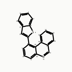 c1ccc2sc(-c3cccc4ncc5ccccc5c34)cc2c1